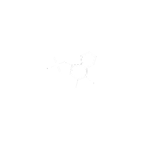 CCCS(=O)(=O)Nc1cc(Cl)c(O)c2ccccc12